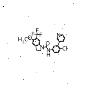 COc1cc2c(cc1C(F)(F)F)N(C(=O)Nc1ccc(Cl)c(-c3cccnc3)c1)CC2